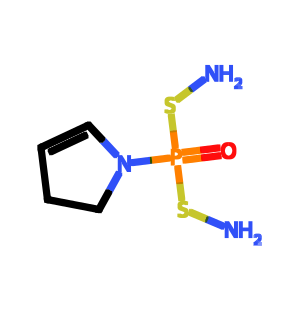 NSP(=O)(SN)N1C=CCC1